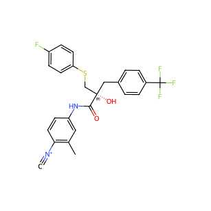 [C-]#[N+]c1ccc(NC(=O)[C@@](O)(CSc2ccc(F)cc2)Cc2ccc(C(F)(F)F)cc2)cc1C